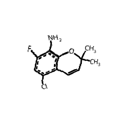 CC1(C)C=Cc2c(Cl)cc(F)c(N)c2O1